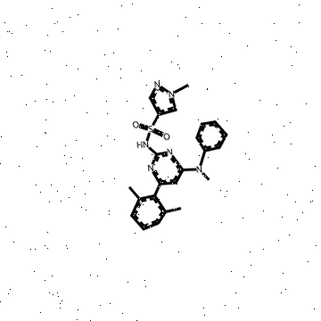 Cc1cccc(C)c1-c1cc(N(C)c2ccccc2)nc(NS(=O)(=O)c2cnn(C)c2)n1